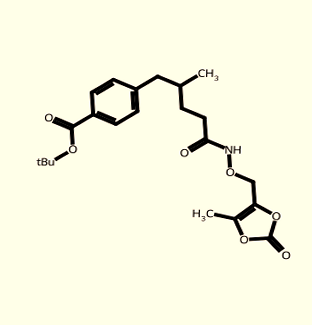 Cc1oc(=O)oc1CONC(=O)CCC(C)Cc1ccc(C(=O)OC(C)(C)C)cc1